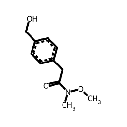 CON(C)C(=O)Cc1ccc(CO)cc1